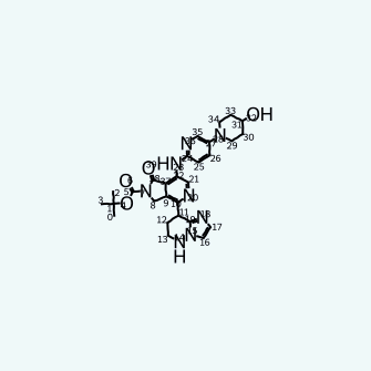 CC(C)(C)OC(=O)N1Cc2c(C3CCNn4ccnc43)ncc(Nc3ccc(N4CCC(O)CC4)cn3)c2C1=O